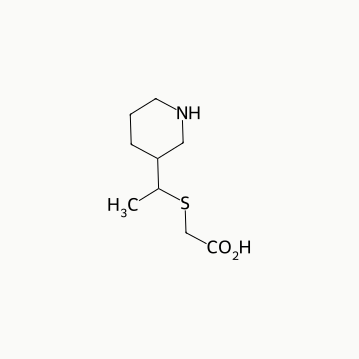 CC(SCC(=O)O)C1CCCNC1